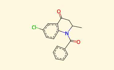 CC1CC(=O)c2cc(Cl)ccc2N1C(=O)c1ccccc1